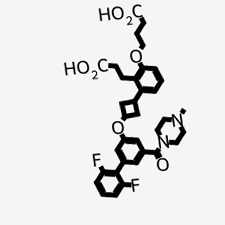 CN1CCN(C(=O)c2cc(OC3CC(c4cccc(OCCCC(=O)O)c4CCC(=O)O)C3)cc(-c3c(F)cccc3F)c2)CC1